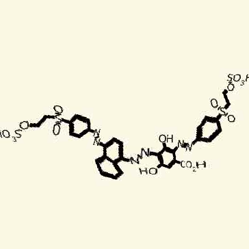 O=C(O)c1cc(O)c(N=Nc2ccc(N=Nc3ccc(S(=O)(=O)CCOS(=O)(=O)O)cc3)c3ccccc23)c(O)c1N=Nc1ccc(S(=O)(=O)CCOS(=O)(=O)O)cc1